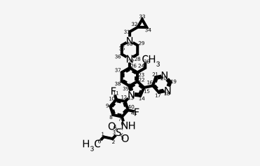 CCCS(=O)(=O)Nc1ccc(F)c(-n2cc(-c3cncnc3)c3c(CC)c(N4CCN(CC5CC5)CC4)ccc32)c1F